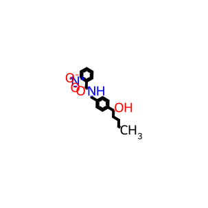 CCCCC(O)c1ccc(CNC(=O)c2ccccc2[N+](=O)[O-])cc1